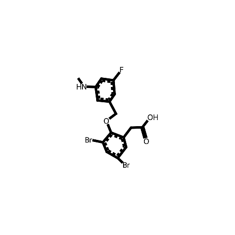 CNc1cc(F)cc(COc2c(Br)cc(Br)cc2CC(=O)O)c1